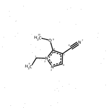 CCn1n[c]c(C#N)c1OC